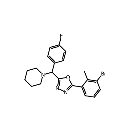 Cc1c(Br)cccc1-c1nnc(C(c2ccc(F)cc2)N2CCCCC2)o1